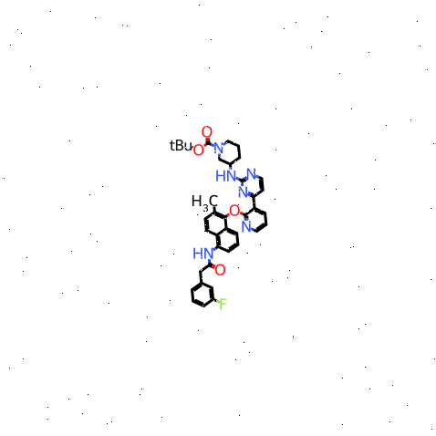 Cc1ccc2c(NC(=O)Cc3cccc(F)c3)cccc2c1Oc1ncccc1-c1ccnc(NC2CCCN(C(=O)OC(C)(C)C)C2)n1